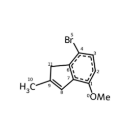 COc1ccc(Br)c2c1C=C(C)C2